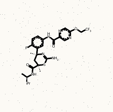 CC(C)[C@@H](C)NC(=O)[C@@]1(C)C[C@@](C)(c2cc(NC(=O)c3cnc(OCC(F)(F)F)cn3)ccc2F)N=C(N)S1